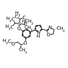 COC[C@H](C)Oc1cc(O[Si](C(C)C)(C(C)C)C(C)C)cc(-c2ccc(C3=N[C@H](C)CO3)[nH]2)c1